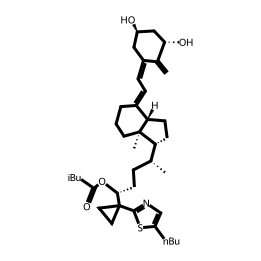 C=C1/C(=C\C=C2/CCC[C@]3(C)[C@@H]([C@H](C)CC[C@@H](OC(=O)C(C)CC)C4(c5ncc(CCCC)s5)CC4)CC[C@@H]23)C[C@@H](O)C[C@@H]1O